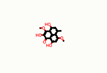 COC1=C(O)C(=O)c2c(O)cc(OC)c3c(C)cc(O)c1c23